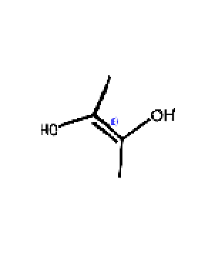 C/C(O)=C(/C)O